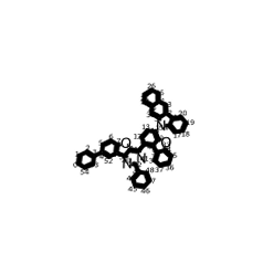 c1ccc(-c2ccc3oc4c(-c5ccc(-n6c7ccccc7c7cc8ccccc8cc76)c6oc7ccccc7c56)nc(-c5ccccc5)nc4c3c2)cc1